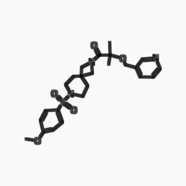 COc1ccc(S(=O)(=O)N2CCC3(CC2)CN(C(=O)C(C)(C)OCc2cccnc2)C3)cc1